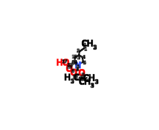 CCCC1CCN(C(=O)OC(C)(C)C)[C@H](C(=O)O)C1